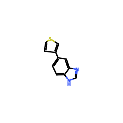 c1nc2cc(-c3ccsc3)ccc2[nH]1